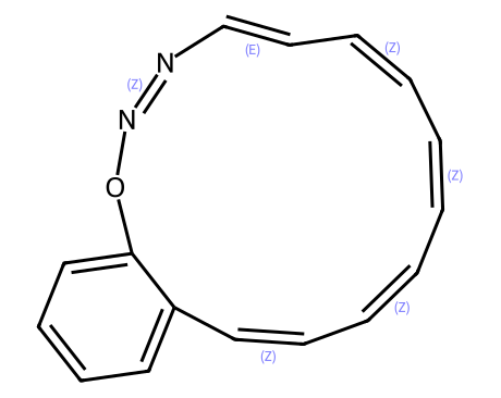 C1=C\C=C/C=C/N=N\Oc2ccccc2/C=C\C=C/1